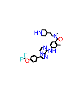 Cc1cc(Nc2nccn3c(-c4ccc(OC(F)F)cc4)cnc23)ccc1C(=O)N(C)CCC1CCNCC1